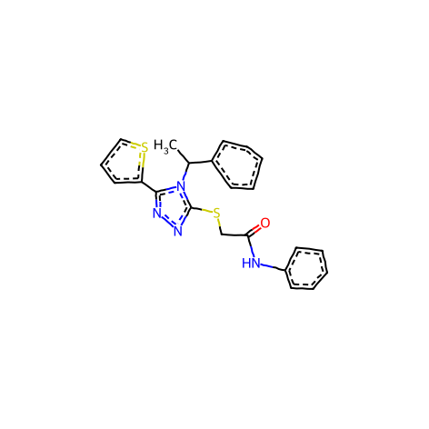 CC(c1ccccc1)n1c(SCC(=O)Nc2ccccc2)nnc1-c1cccs1